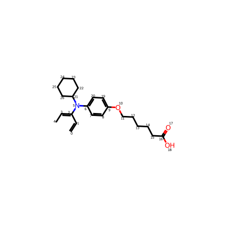 C=C/C(=C\C)N(c1ccc(OCCCCCC(=O)O)cc1)C1CCCCC1